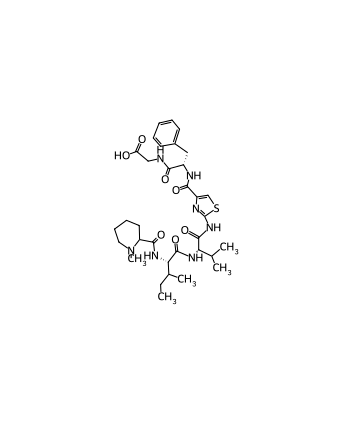 CCC(C)[C@H](NC(=O)C1CCCCN1C)C(=O)N[C@H](C(=O)Nc1nc(C(=O)N[C@@H](Cc2ccccc2)C(=O)NCC(=O)O)cs1)C(C)C